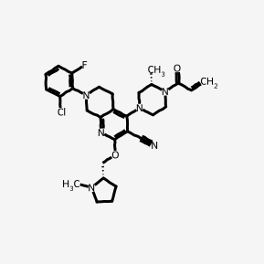 C=CC(=O)N1CCN(c2c(C#N)c(OC[C@@H]3CCCN3C)nc3c2CCN(c2c(F)cccc2Cl)C3)C[C@@H]1C